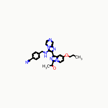 CCCOc1ccn2c(C(C)=O)nc(-c3nc4cnccn4c3NCc3ccc(C#N)cc3)c2c1